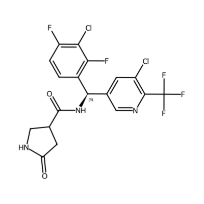 O=C1CC(C(=O)N[C@H](c2cnc(C(F)(F)F)c(Cl)c2)c2ccc(F)c(Cl)c2F)CN1